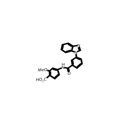 COc1cc(NC(=O)c2cccc(-n3cnc4ccccc43)c2)ccc1C(=O)O